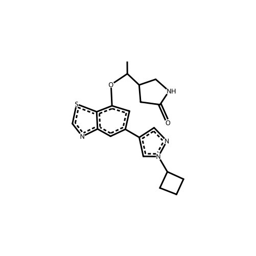 CC(Oc1cc(-c2cnn(C3CCC3)c2)cc2ncsc12)C1CNC(=O)C1